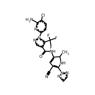 CC1NC(n2nccn2)=C(C#N)C=C1NC(=O)c1cnn(-c2ccc(Cl)c(N)n2)c1C(F)(F)F